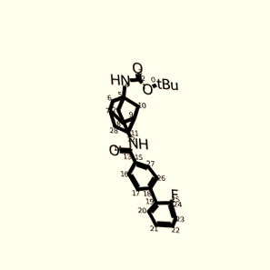 CC(C)(C)OC(=O)NC12CC3CC(C1)C(NC(=O)c1ccc(-c4ccccc4F)cc1)(C3)C2